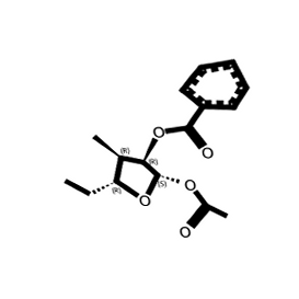 CC[C@H]1O[C@@H](OC(C)=O)[C@H](OC(=O)c2ccccc2)[C@@H]1C